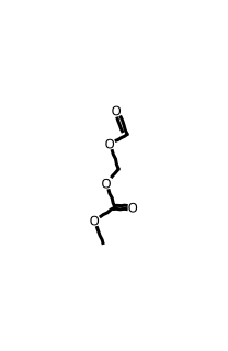 COC(=O)OCOC=O